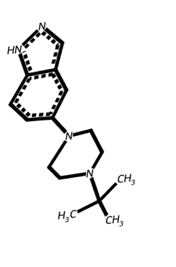 CC(C)(C)N1CCN(c2ccc3[nH]ncc3c2)CC1